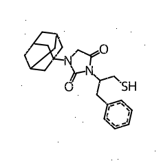 O=C1CN(C23CC4CC(CC(C4)C2)C3)C(=O)N1C(CS)Cc1ccccc1